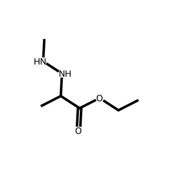 CCOC(=O)C(C)NNC